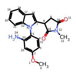 COc1ccc(-n2c(C3CC(=O)N(C)C3=O)cc3ccccc32)c(N)c1